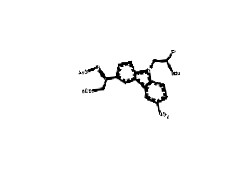 CCCCCCCCCCC/C(=N\OC(C)=O)c1ccc2c(c1)c1cc([N+](=O)[O-])ccc1n2CC(CC)CCCC